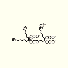 CC(C)CCCCC/C(C(=O)[O-])=C(\CCCCCC(C)C)C(=O)[O-].CC(C)CCCCC/C(C(=O)[O-])=C(\CCCCCC(C)C)C(=O)[O-].[C+4]